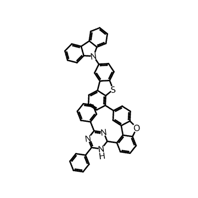 c1ccc(C2=NC(c3cccc4oc5ccc(-c6cccc7c6sc6ccc(-n8c9ccccc9c9ccccc98)cc67)cc5c34)NC(c3ccccc3)=N2)cc1